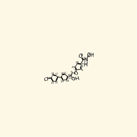 O=C(NO)c1ccc(OCC(O)c2ccc(-c3ccc(Cl)cc3)cc2)cc1